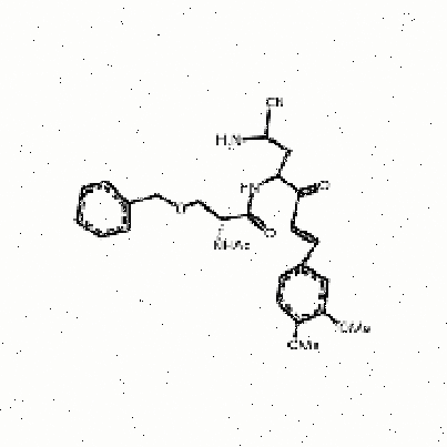 COc1ccc(/C=C/C(=O)C(CC(N)C#N)NC(=O)[C@@H](COCc2ccccc2)NC(C)=O)cc1OC